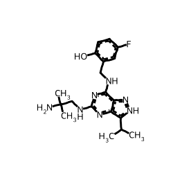 CC(C)c1[nH]nc2c(NCc3cc(F)ccc3O)nc(NCC(C)(C)N)nc12